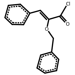 O=C(Cl)C(=Cc1ccccc1)OCc1ccccc1